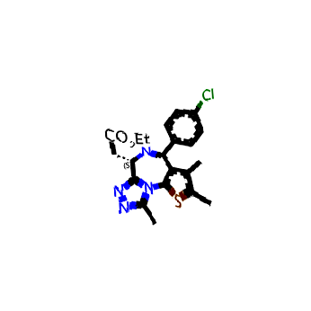 CCOC(=O)C[C@@H]1N=C(c2ccc(Cl)cc2)c2c(sc(C)c2C)-n2c(C)nnc21